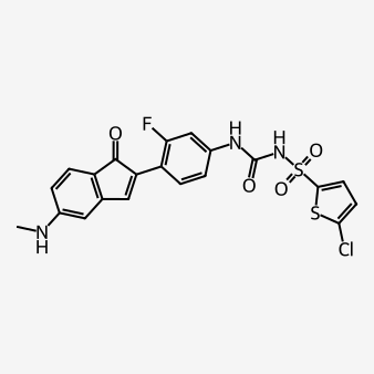 CNc1ccc2c(c1)C=C(c1ccc(NC(=O)NS(=O)(=O)c3ccc(Cl)s3)cc1F)C2=O